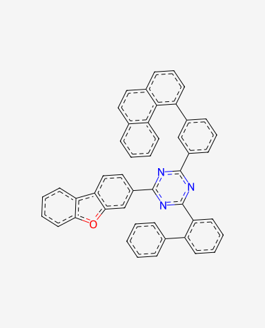 c1ccc(-c2ccccc2-c2nc(-c3cccc(-c4cccc5ccc6ccccc6c45)c3)nc(-c3ccc4c(c3)oc3ccccc34)n2)cc1